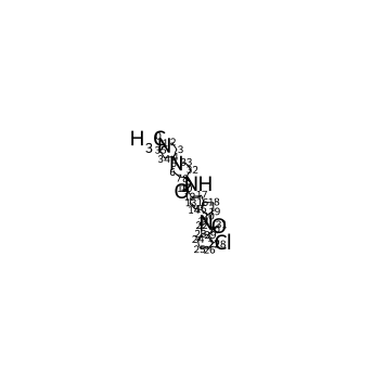 CN1CCC(N2CCC(NC(=O)c3ccc4c(c3)CC[C@H]4N3Cc4cccc(Cl)c4C3=O)CC2)CC1